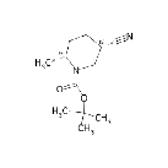 C[C@@H]1CC[C@H](C#N)CN1C(=O)OC(C)(C)C